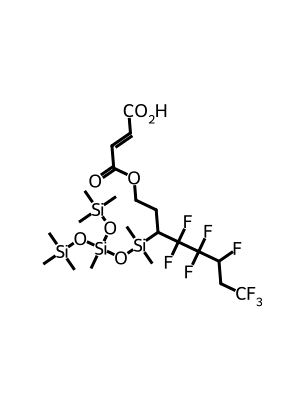 C[Si](C)(C)O[Si](C)(O[Si](C)(C)C)O[Si](C)(C)C(CCOC(=O)C=CC(=O)O)C(F)(F)C(F)(F)C(F)CC(F)(F)F